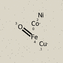 [Co].[Cu].[Ni].[O]=[Fe]